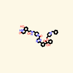 O=C(c1cncc(-c2cccc([C@](O)(C(=O)OCC3CCN(Cc4ccccc4)CC3)c3ccccc3)c2)n1)N1CCC(CNC[C@H](O)c2ccc(O)c3[nH]c(=O)ccc23)CC1